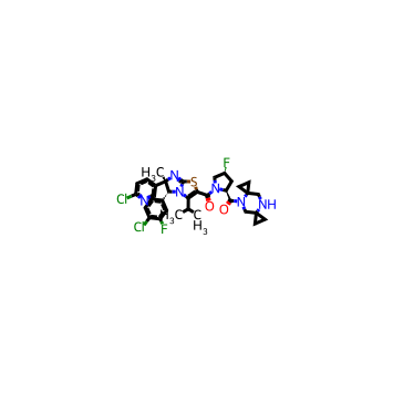 CC(C)C1=C(C(=O)N2C[C@H](F)C[C@H]2C(=O)N2CC3(CC3)NCC23CC3)SC2=N[C@@](C)(c3ccc(Cl)nc3)[C@@H](c3ccc(Cl)c(F)c3)N21